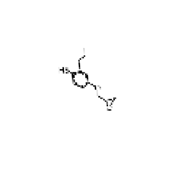 CCCc1cc(OCC2CO2)ccc1S